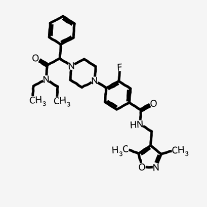 CCN(CC)C(=O)C(c1ccccc1)N1CCN(c2ccc(C(=O)NCc3c(C)noc3C)cc2F)CC1